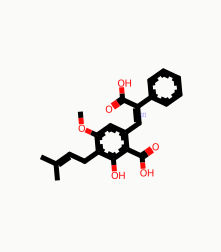 COc1cc(/C=C(\C(=O)O)c2ccccc2)c(C(=O)O)c(O)c1CC=C(C)C